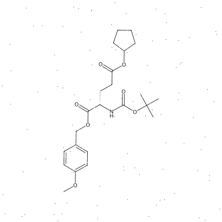 COc1ccc(COC(=O)[C@H](CCC(=O)OC2CCCC2)NC(=O)OC(C)(C)C)cc1